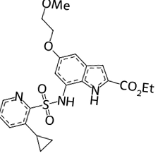 CCOC(=O)c1cc2cc(OCCOC)cc(NS(=O)(=O)c3ncccc3C3CC3)c2[nH]1